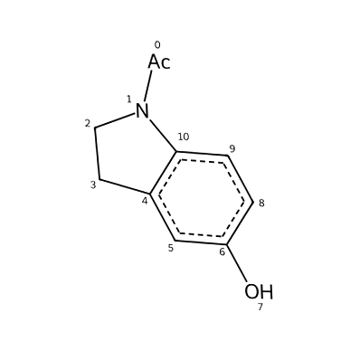 CC(=O)N1CCc2cc(O)ccc21